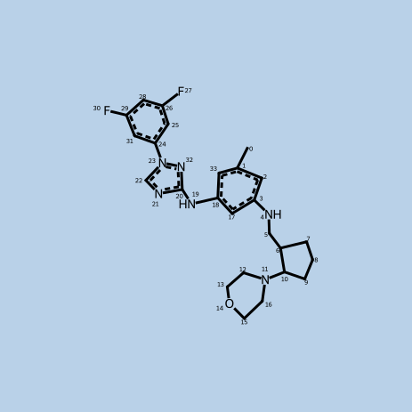 Cc1cc(NCC2CCCC2N2CCOCC2)cc(Nc2ncn(-c3cc(F)cc(F)c3)n2)c1